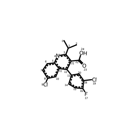 CC(C)c1nc2ccc(Cl)cc2c(-c2ccc(F)c(Cl)c2)c1C(=O)O